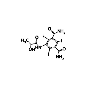 CC(O)C(=O)Nc1c(I)c(C(N)=O)c(I)c(C(N)=O)c1I